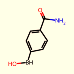 NC(=O)c1ccc(BO)cc1